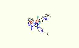 Cc1cc2c(F)c(Oc3nc(Nc4ncc(C)o4)cc(N4CCN(C)CC4)n3)c(F)cc2[nH]1